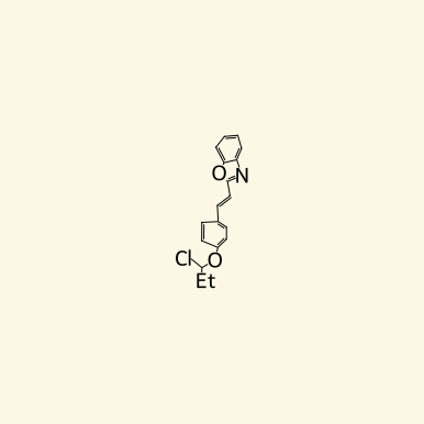 CCC(Cl)Oc1ccc(/C=C/c2nc3ccccc3o2)cc1